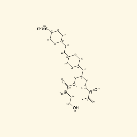 C=C(C)C(=O)OCC(COC(=O)C(=C)CCO)CC1CCC(CCC2CCC(CCCCC)CC2)CC1